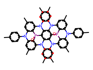 Cc1ccc(N2c3cc(C)cc4c3P3(=O)c5c2cc(C)cc5N(c2ccc(C)cc2)c2c5c6c(c(c23)N4c2ccc(C)cc2)N(c2ccc(C)cc2)c2cc(C)cc3c2P6(=O)c2c(cc(C)cc2N5c2ccc(C)cc2)N3c2ccc(C)cc2)cc1